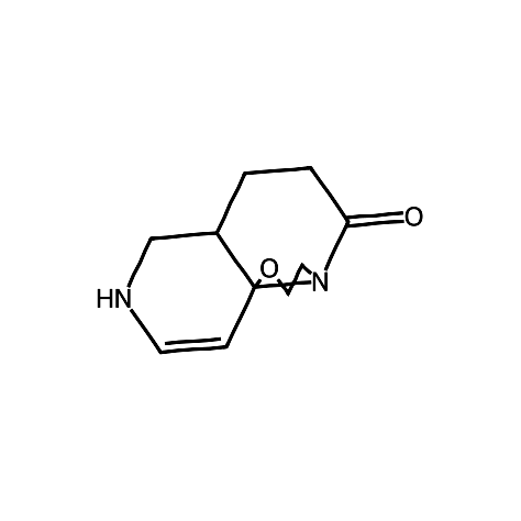 O=C1CCC2CNC=CC23OCCN13